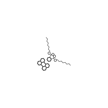 CCCCCCCCOC(=O)c1ccccc1C(=O)OCCCCCCCC.c1cc2cccc3c4cccc5cccc(c(c1)c23)c54